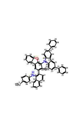 CC(C)(C)c1ccc(Nc2c(-c3cc4c(oc5ccccc54)c4c3Bc3cc(-c5ccccc5)cc5c6cc(-c7ccccc7)ccc6n-4c35)ccc3ccccc23)cc1